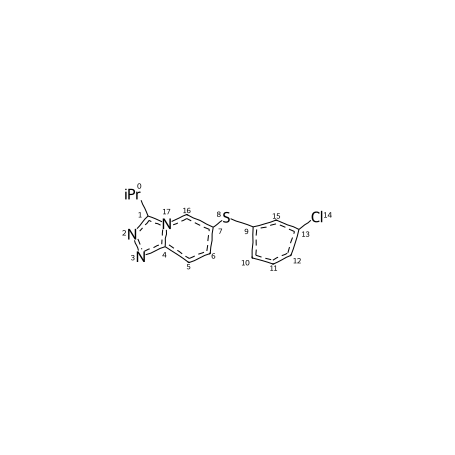 CC(C)c1nnc2ccc(Sc3cccc(Cl)c3)cn12